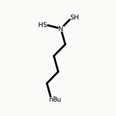 CCCCCCCCN(S)S